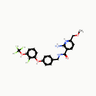 COCc1ccc(C(=O)NCc2ccc(Oc3cccc(OC(F)(F)F)c3F)cc2)c(N)n1